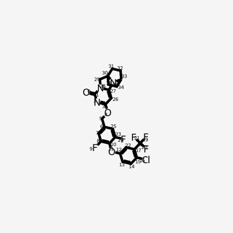 O=c1nc(OCc2cc(F)c(Oc3ccc(Cl)c(C(F)(F)F)c3)c(F)c2)cc2n1CC13CCC(CC1)N23